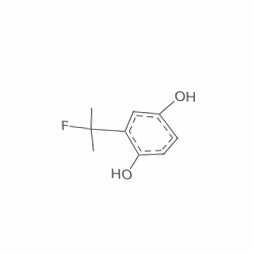 CC(C)(F)c1cc(O)ccc1O